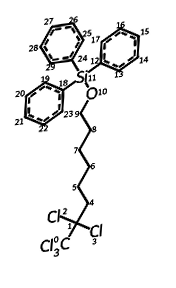 ClC(Cl)(Cl)C(Cl)(Cl)CCCCCCO[Si](c1ccccc1)(c1ccccc1)c1ccccc1